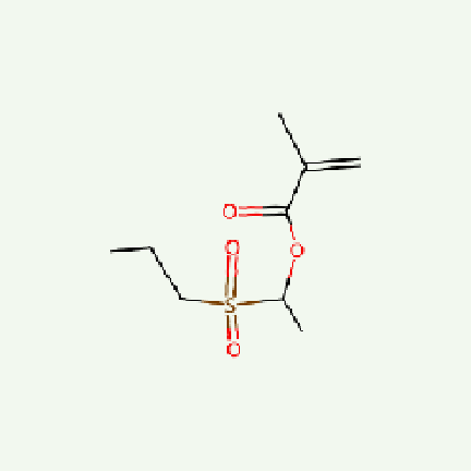 C=C(C)C(=O)OC(C)S(=O)(=O)CCC